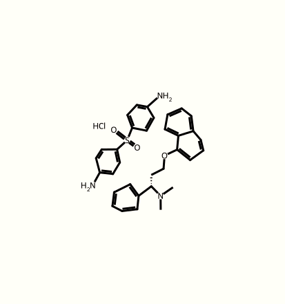 CN(C)[C@@H](CCOc1cccc2ccccc12)c1ccccc1.Cl.Nc1ccc(S(=O)(=O)c2ccc(N)cc2)cc1